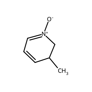 CC1C=CC=[N+]([O-])C1